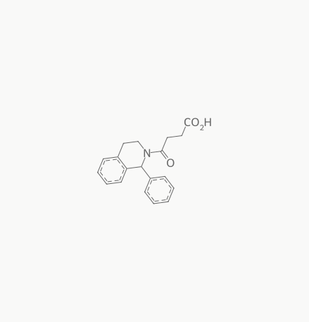 O=C(O)CCC(=O)N1CCc2ccccc2C1c1ccccc1